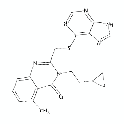 Cc1cccc2nc(CSc3ncnc4[nH]cnc34)n(CCC3CC3)c(=O)c12